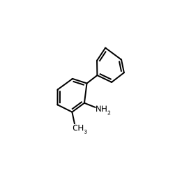 Cc1cccc(-c2ccccc2)c1N